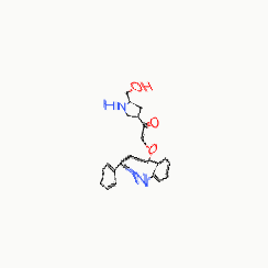 O=C(COc1cc(-c2ccccc2)nc2ccccc12)C1CN[C@@H](CO)C1